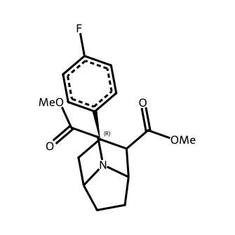 COC(=O)CN1C2CCC1C(C(=O)OC)[C@H](c1ccc(F)cc1)C2